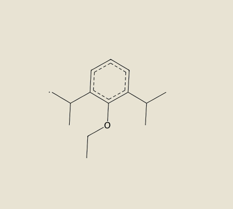 [CH2]C(C)c1cccc(C(C)C)c1OCC